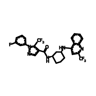 O=C(N[C@@H]1CCC[C@H](Nc2cc(C(F)(F)F)nc3ccccc23)C1)c1cnn(-c2cccc(F)c2)c1C(F)(F)F